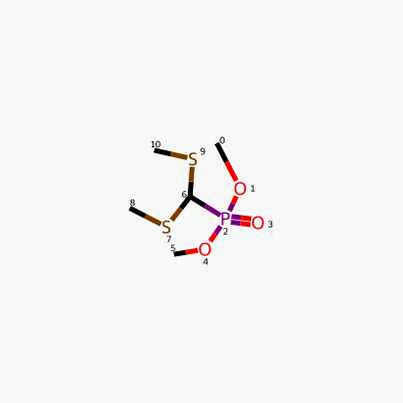 COP(=O)(OC)C(SC)SC